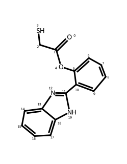 O=C(CS)Oc1ccccc1-c1nc2ccccc2[nH]1